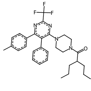 CCCC(CCC)C(=O)N1CCN(c2nc(C(F)(F)F)nc(-c3ccc(C)cc3)c2-c2ccccc2)CC1